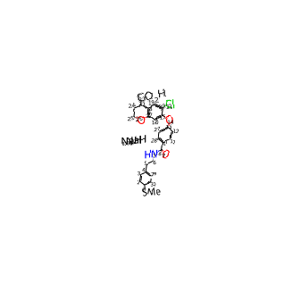 CSc1ccc(CCNC(=O)c2ccc(Oc3cc4c(cc3Cl)C(C(=O)O)CCO4)cc2)cc1.[NaH].[NaH]